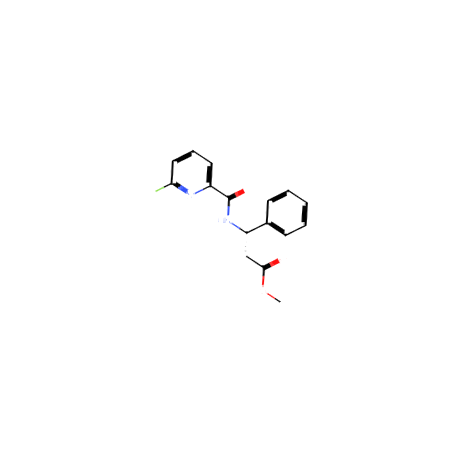 COC(=O)C[C@H](NC(=O)c1cccc(F)n1)c1ccccc1